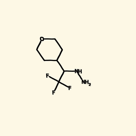 NNC(C1CCOCC1)C(F)(F)F